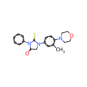 Cc1cc(N2CC(=O)N(c3ccccc3)C2=S)ccc1N1CCOCC1